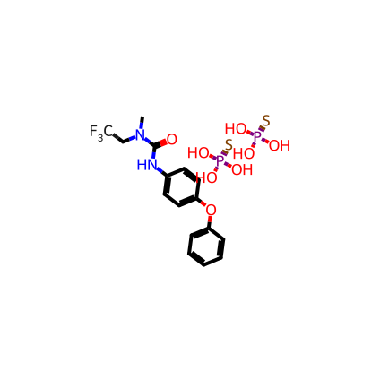 CN(CC(F)(F)F)C(=O)Nc1ccc(Oc2ccccc2)cc1.OP(O)(O)=S.OP(O)(O)=S